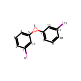 Ic1cccc(Oc2cccc(I)c2)c1